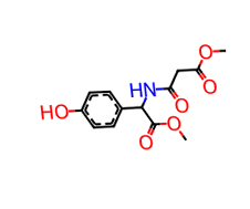 COC(=O)CC(=O)NC(C(=O)OC)c1ccc(O)cc1